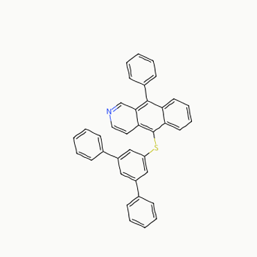 c1ccc(-c2cc(Sc3c4ccccc4c(-c4ccccc4)c4cnccc34)cc(-c3ccccc3)c2)cc1